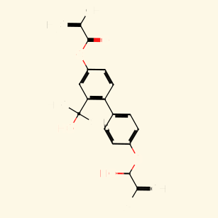 C=C(C)C(=O)Oc1ccc(-c2ccc(OC(O)C(=C)C)cc2)c(C(C)(C)O)c1